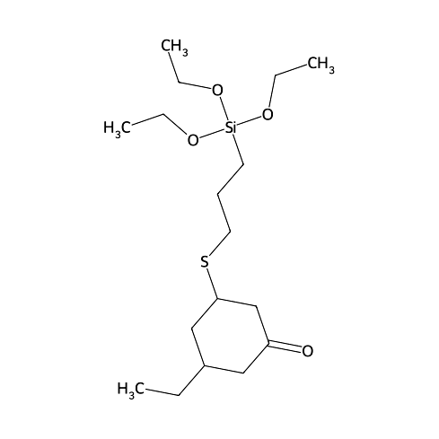 CCO[Si](CCCSC1CC(=O)CC(CC)C1)(OCC)OCC